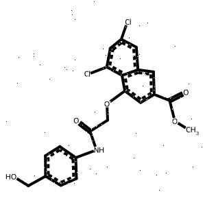 COC(=O)c1cc(OCC(=O)Nc2ccc(CO)cc2)c2c(Cl)cc(Cl)cc2c1